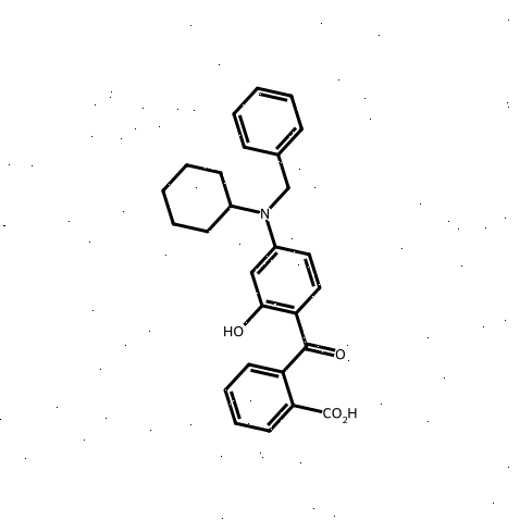 O=C(O)c1ccccc1C(=O)c1ccc(N(Cc2ccccc2)C2CCCCC2)cc1O